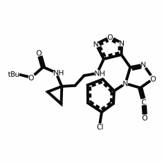 CC(C)(C)OC(=O)NC1(CCNc2nonc2C2=NOC(=C=O)N2c2cccc(Cl)c2)CC1